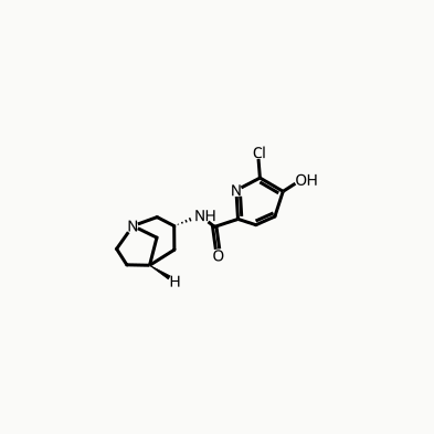 O=C(N[C@@H]1C[C@@H]2CCN(C2)C1)c1ccc(O)c(Cl)n1